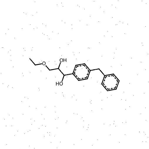 CCOCC(O)C(O)c1ccc(Cc2ccccc2)cc1